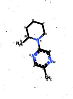 Cc1cnc(N2CCCCC2C)cn1